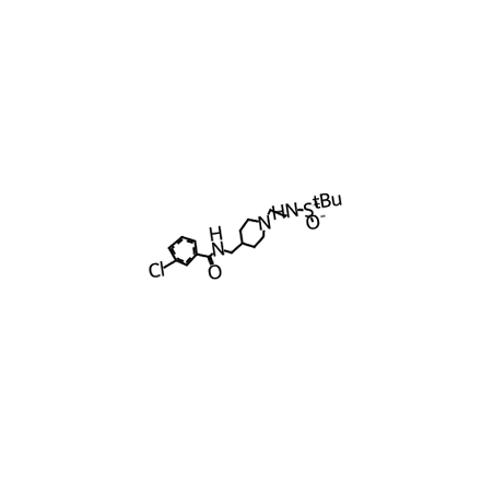 CC(C)(C)[S+]([O-])NCCN1CCC(CNC(=O)c2cccc(Cl)c2)CC1